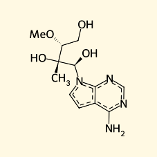 CO[C@H](CO)[C@@](C)(O)[C@@H](O)n1ccc2c(N)ncnc21